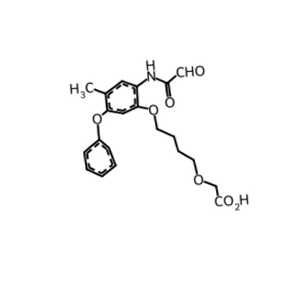 Cc1cc(NC(=O)C=O)c(OCCCCOCC(=O)O)cc1Oc1ccccc1